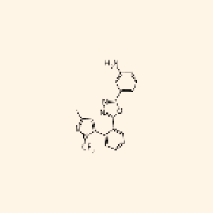 Cc1cc(-c2ccccc2-c2nnc(-c3cccc(N)c3)o2)n(C(F)(F)F)n1